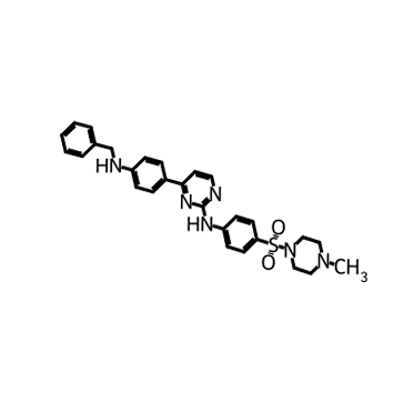 CN1CCN(S(=O)(=O)c2ccc(Nc3nccc(-c4ccc(NCc5ccccc5)cc4)n3)cc2)CC1